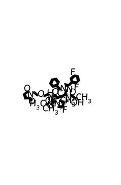 C[C@H](O)C(=O)N(C[C@@H]1CN(C(=O)OC(C)(C)C)C[C@@H]1F)[C@@H](c1nc(-c2cc(F)ccc2F)cn1Cc1ccccc1)C(C)(C)CC(=O)NCCOCCN1C(=O)C=CC1=O